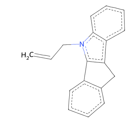 C=CCn1c2c(c3ccccc31)Cc1ccccc1-2